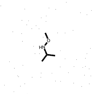 CONC(C)C